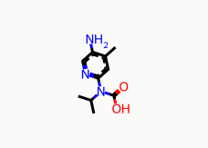 Cc1cc(N(C(=O)O)C(C)C)ncc1N